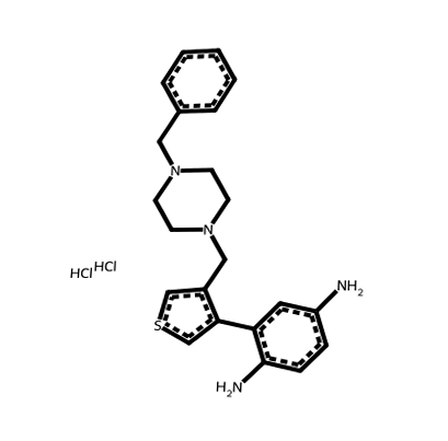 Cl.Cl.Nc1ccc(N)c(-c2cscc2CN2CCN(Cc3ccccc3)CC2)c1